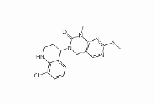 CSc1ncc2c(n1)N(C)C(=O)N(C1CCNc3c(Cl)cccc31)C2